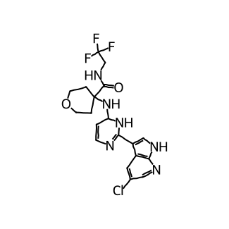 O=C(NCC(F)(F)F)C1(NC2C=CN=C(c3c[nH]c4ncc(Cl)cc34)N2)CCOCC1